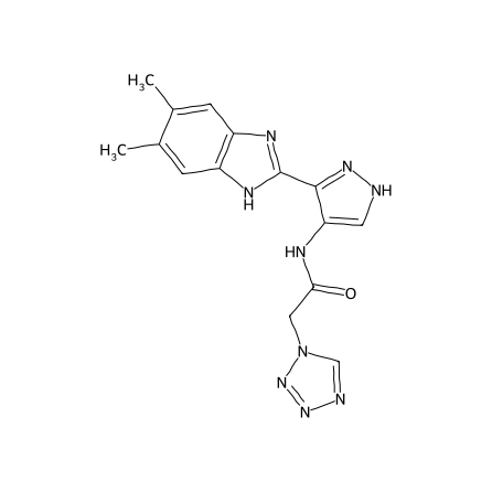 Cc1cc2nc(-c3n[nH]cc3NC(=O)Cn3cnnn3)[nH]c2cc1C